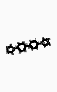 c1cc(-n2cnnc2)ccc1-c1ccc(-n2cnnc2)cc1